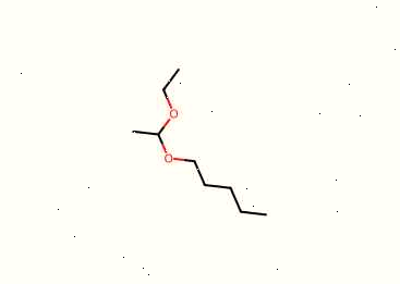 CCCCCOC(C)OCC